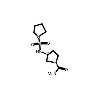 CNC(=O)N1CC[C@H](NS(=O)(=O)N2CCCC2)C1